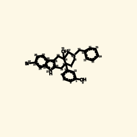 Oc1cccc(C23CCN(Cc4ccccc4)CC2(O)Cc2c([nH]c4cc(Br)ccc24)C3)c1